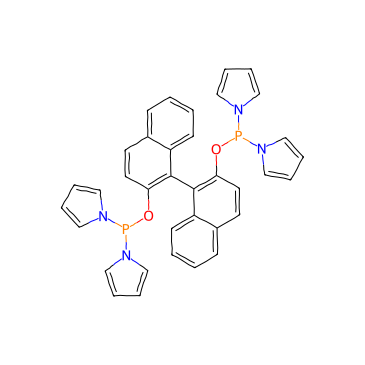 c1ccc2c(-c3c(OP(n4cccc4)n4cccc4)ccc4ccccc34)c(OP(n3cccc3)n3cccc3)ccc2c1